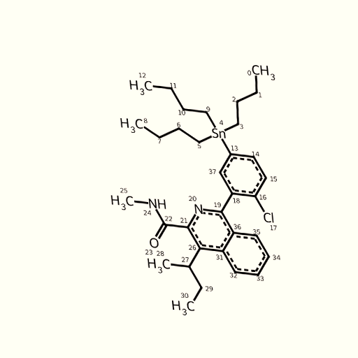 CCC[CH2][Sn]([CH2]CCC)([CH2]CCC)[c]1ccc(Cl)c(-c2nc(C(=O)NC)c(C(C)CC)c3ccccc23)c1